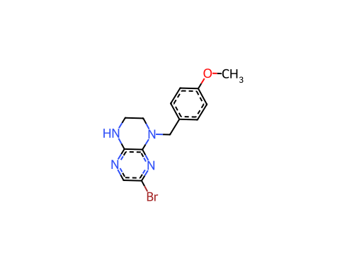 COc1ccc(CN2CCNc3ncc(Br)nc32)cc1